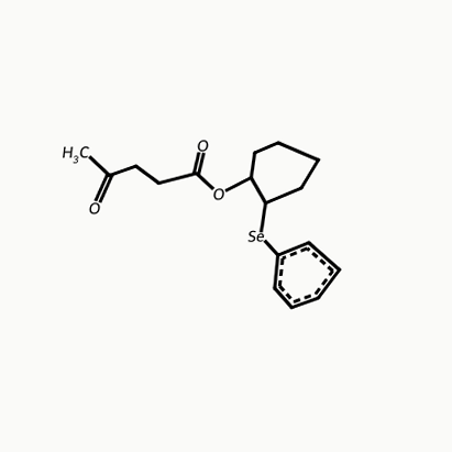 CC(=O)CCC(=O)OC1CCCCC1[Se]c1ccccc1